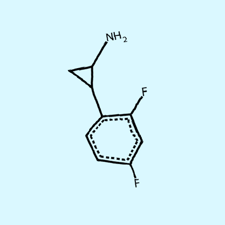 NC1CC1c1ccc(F)cc1F